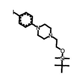 CC(C)(C)[Si](C)(C)OCCN1CCN(c2ccc(I)cc2)CC1